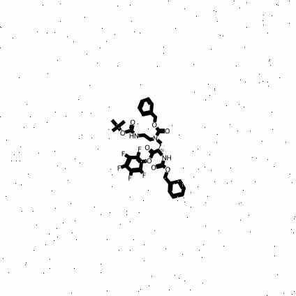 CC(C)(C)OC(=O)NCCN(C[C@H](NC(=O)OCc1ccccc1)C(=O)Oc1c(F)c(F)c(F)c(F)c1F)C(=O)OCc1ccccc1